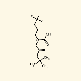 CC(C)(C)OC(=O)C[C@@H](CCCC(F)(F)F)C(=O)O